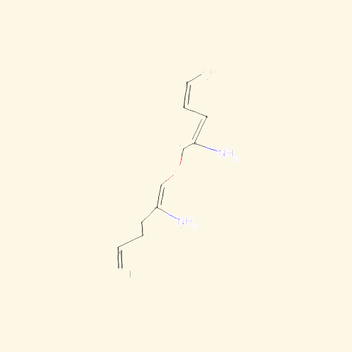 C=CCC/C(N)=C/OC/C(N)=C\C=C/C